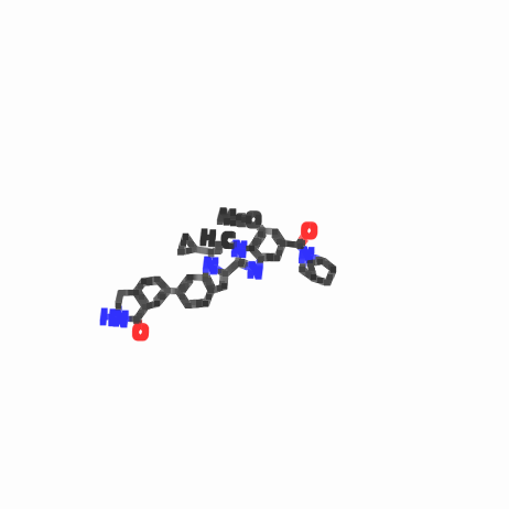 COc1cc(C(=O)N2CC3CCC2C3)cc2nc(-c3cc4ccc(-c5ccc6c(c5)C(=O)NCC6)cc4n3CC3CC3)n(C)c12